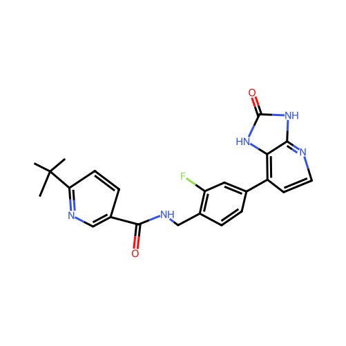 CC(C)(C)c1ccc(C(=O)NCc2ccc(-c3ccnc4[nH]c(=O)[nH]c34)cc2F)cn1